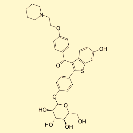 O=C(c1ccc(OCCN2CCCCC2)cc1)c1c(-c2ccc(OC3O[C@H](CO)[C@@H](O)[C@H](O)[C@H]3O)cc2)sc2cc(O)ccc12